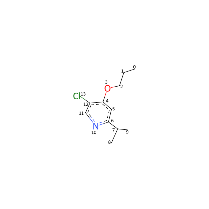 CCCOc1cc(C(C)C)ncc1Cl